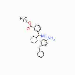 CCOC(=O)c1cccc(C(Nc2cc(Cc3ccccc3)ccc2N)C2CCCCC2)c1